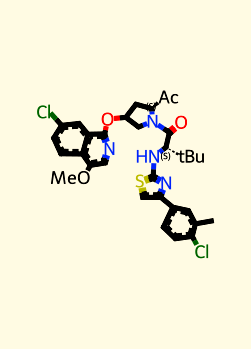 COc1cnc(OC2C[C@@H](C(C)=O)N(C(=O)[C@@H](Nc3nc(-c4ccc(Cl)c(C)c4)cs3)C(C)(C)C)C2)c2cc(Cl)ccc12